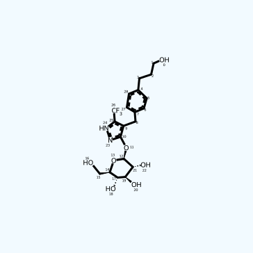 OCCCc1ccc(Cc2c(O[C@@H]3O[C@H](CO)[C@@H](O)[C@H](O)[C@H]3O)n[nH]c2C(F)(F)F)cc1